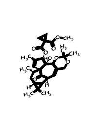 COC(=O)C1(C(=O)O[C@H]2C(C)=C[C@]34C(=O)[C@@H](C=C5COC(C)(C)OC5[C@]23O)C2[C@@H](C[C@H]4C)C2(C)C)CC1